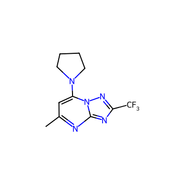 Cc1cc(N2CCCC2)n2nc(C(F)(F)F)nc2n1